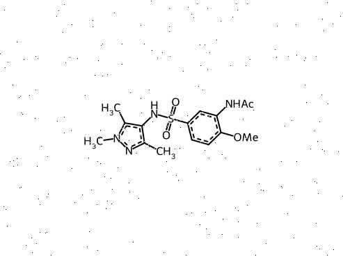 COc1ccc(S(=O)(=O)Nc2c(C)nn(C)c2C)cc1NC(C)=O